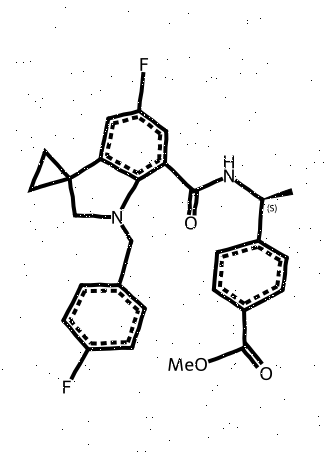 COC(=O)c1ccc([C@H](C)NC(=O)c2cc(F)cc3c2N(Cc2ccc(F)cc2)CC32CC2)cc1